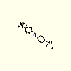 CNc1ccc(/C=C/c2ccc(NN)nc2)cc1